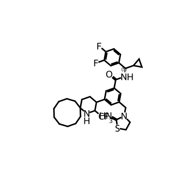 N=C1SCCN1Cc1cc(C(=O)N[C@H](c2ccc(F)c(F)c2)C2CC2)cc(C2CCC3(CCCCCCCCC3)NC2C(F)(F)F)c1